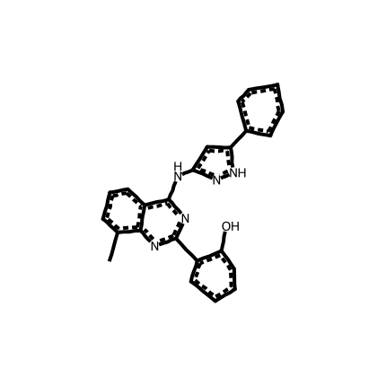 Cc1cccc2c(Nc3cc(-c4ccccc4)[nH]n3)nc(-c3ccccc3O)nc12